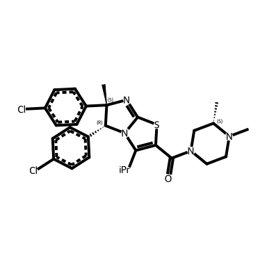 CC(C)C1=C(C(=O)N2CCN(C)[C@@H](C)C2)SC2=N[C@@](C)(c3ccc(Cl)cc3)[C@@H](c3ccc(Cl)cc3)N21